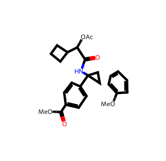 COC(=O)c1ccc(C2(NC(=O)C(OC(C)=O)C3CCC3)CC2)cc1.COc1ccccc1